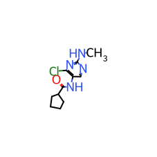 CNc1ncc(NC(=O)C2CCCC2)c(Cl)n1